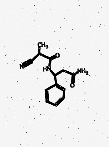 CC(C#N)C(=O)NC(CC(N)=O)c1ccccc1